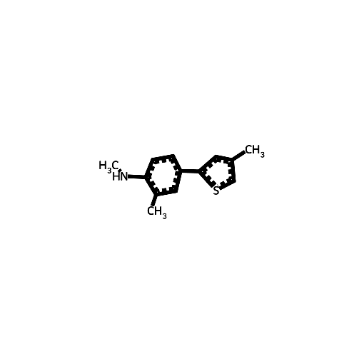 CNc1ccc(-c2cc(C)cs2)cc1C